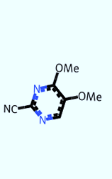 COc1cnc(C#N)nc1OC